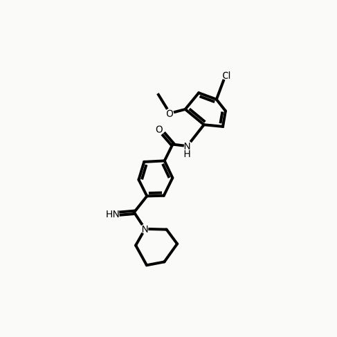 COc1cc(Cl)ccc1NC(=O)c1ccc(C(=N)N2CCCCC2)cc1